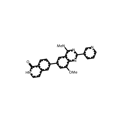 CNc1nc(-c2cccnc2)nc2c(OC)cc(-c3ccc4c(=O)[nH]ccc4c3)cc12